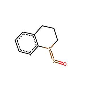 O=S=S1CCCc2ccc[c]c21